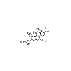 COc1cc2c(NC(C)c3cccc(C(F)F)c3F)nc(C)nc2cc1-c1cnn(C)c1